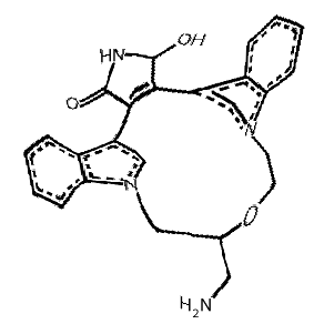 NCC1CCn2cc(c3ccccc32)C2=C(c3cn(c4ccccc34)CCO1)C(O)NC2=O